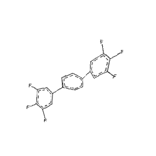 Fc1cc(-c2ccc(-c3cc(F)c(F)c(F)c3)cc2)cc(F)c1F